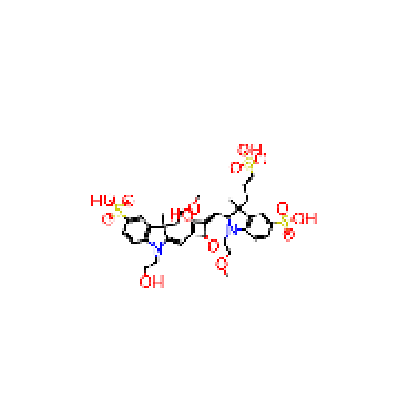 COCCN1c2ccc(S(=O)(=O)O)cc2C(C)(CCCS(=O)(=O)O)C1/C=C1\C(=O)C(/C=C2/N(CCO)c3ccc(S(=O)(=O)O)cc3C2(C)CCOC)=C1O